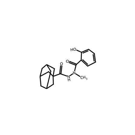 CN(NC(=O)C12CC3CC(CC(C3)C1)C2)C(=O)c1ccccc1O